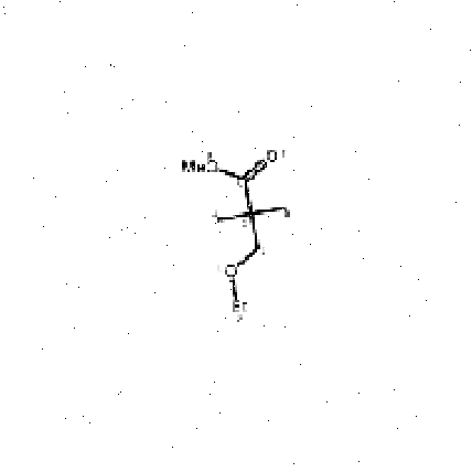 CCOCC(C)(C)C(=O)OC